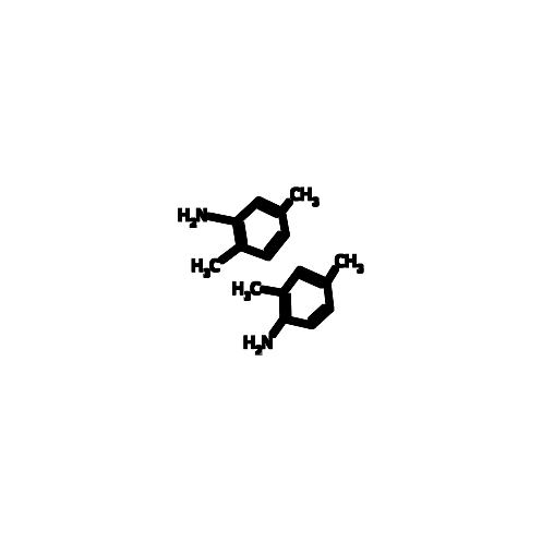 Cc1ccc(C)c(N)c1.Cc1ccc(N)c(C)c1